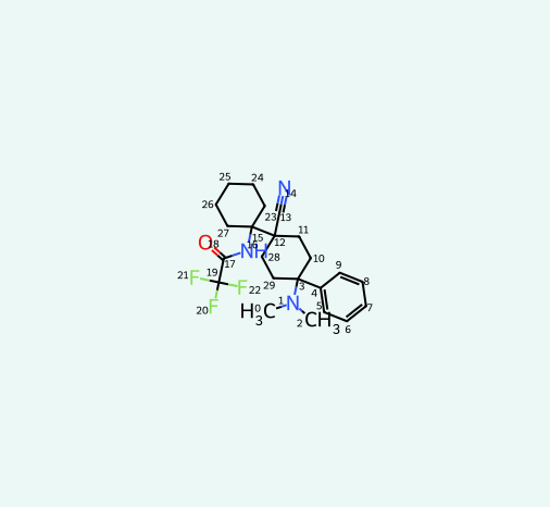 CN(C)C1(c2ccccc2)CCC(C#N)(C2(NC(=O)C(F)(F)F)CCCCC2)CC1